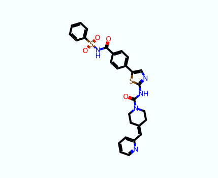 O=C(NS(=O)(=O)c1ccccc1)c1ccc(-c2cnc(NC(=O)N3CCC(=Cc4ccccn4)CC3)s2)cc1